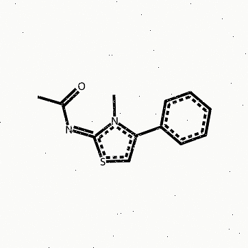 CC(=O)/N=c1/scc(-c2ccccc2)n1C